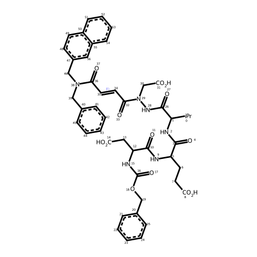 CC(C)C(NC(=O)C(CCC(=O)O)NC(=O)C(CC(=O)O)NC(=O)OCc1ccccc1)C(=O)NN(CC(=O)O)C(=O)/C=C/C(=O)N(Cc1ccccc1)Cc1ccc2ccccc2c1